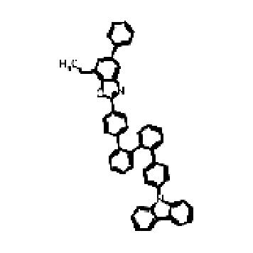 CCc1cc(-c2ccccc2)cc2nc(-c3ccc(-c4ccccc4-c4ccccc4-c4ccc(-n5c6ccccc6c6ccccc65)cc4)cc3)oc12